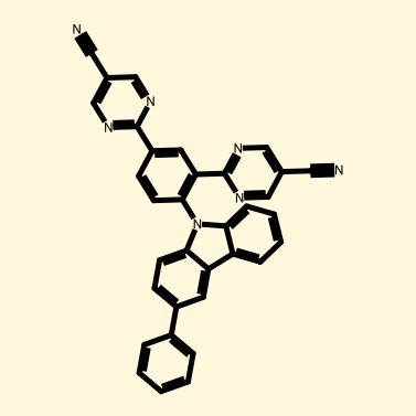 N#Cc1cnc(-c2ccc(-n3c4ccccc4c4cc(-c5ccccc5)ccc43)c(-c3ncc(C#N)cn3)c2)nc1